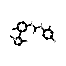 Cc1ccc(NC(=O)Nc2ccc(F)cc2F)cc1-c1c(Cl)cnn1C